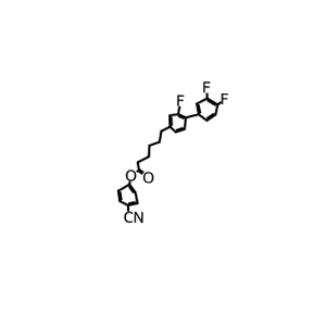 N#Cc1ccc(OC(=O)CCCCCc2ccc(-c3ccc(F)c(F)c3)c(F)c2)cc1